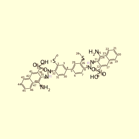 CSc1cc(-c2ccc(/N=N/c3c(S(=O)(=O)O)cc4ccccc4c3N)c(SC)c2)ccc1/N=N/c1c(S(=O)(=O)O)cc2ccccc2c1N